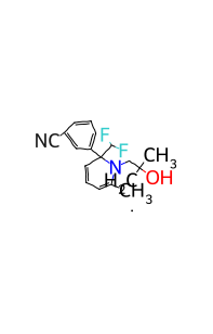 [CH2]C(C)(O)CN1C(C)=CC=CC1(c1cccc(C#N)c1)C(F)F